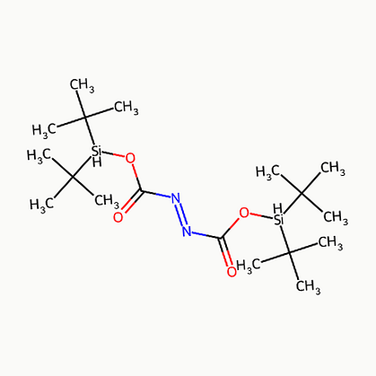 CC(C)(C)[SiH](OC(=O)N=NC(=O)O[SiH](C(C)(C)C)C(C)(C)C)C(C)(C)C